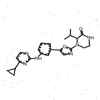 CC(C)C1C(=O)NCCN1c1ncc(-c2cccc(Nc3nccc(C4CC4)n3)c2)o1